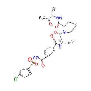 CC(C)C(NC(=O)C1CCCN1C(=O)[C@@H](NC(=O)c1ccc(C(=O)NS(=O)(=O)c2ccc(Cl)cc2)cc1)C(C)C)C(=O)C(F)(F)F